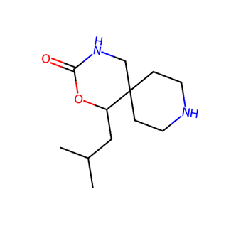 CC(C)CC1OC(=O)NCC12CCNCC2